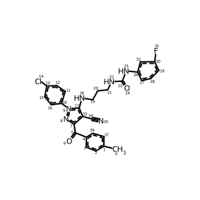 Cc1ccc(C(=O)c2nn(-c3ccc(Cl)cc3)c(NCCCNC(=O)Nc3cccc(F)c3)c2C#N)cc1